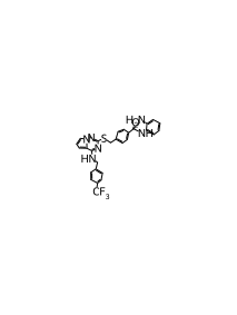 Nc1ccccc1NC(=O)c1ccc(CSc2nc(NCc3ccc(C(F)(F)F)cc3)c3cccn3n2)cc1